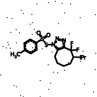 Cc1ccc(S(=O)(=O)Sn2nnc3c2CCCCC(C(C)C)C3(F)F)cc1